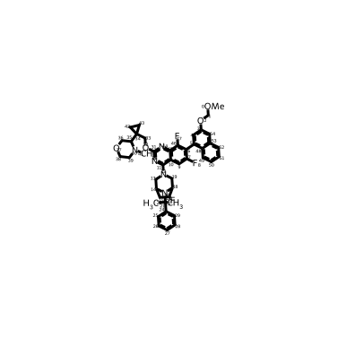 COCOc1cc(-c2c(F)cc3c(N4CC5CC(F)C(C4)N5C(C)(C)c4ccccc4)nc(OCC4(C5COCCN5C)CC4)nc3c2F)c2ccccc2c1